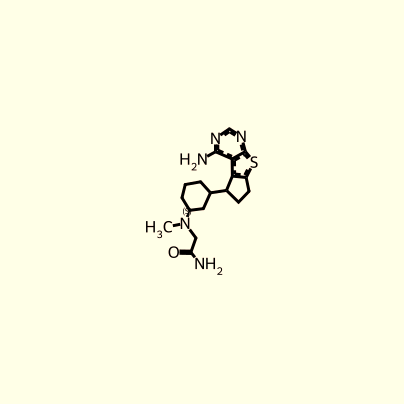 CN(CC(N)=O)[C@H]1CCCC(C2CCc3sc4ncnc(N)c4c32)C1